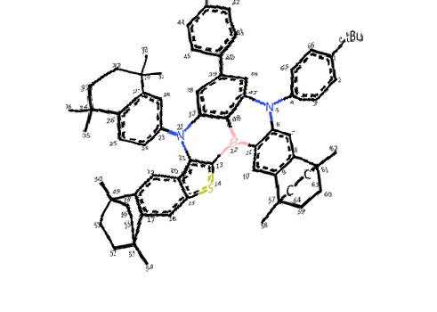 CC(C)(C)c1ccc(N2c3cc4c(cc3B3c5sc6cc7c(cc6c5N(c5ccc6c(c5)C(C)(C)CCC6(C)C)c5cc(-c6ccccc6)cc2c53)C2(C)CCC7(C)CC2)C2(C)CCC4(C)CC2)cc1